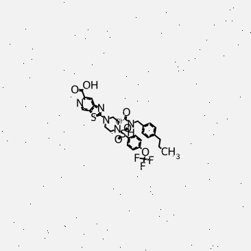 CCCc1ccc(CNC(=O)[C@H]2CN(c3nc4cc(C(=O)O)ncc4s3)CCN2S(=O)(=O)c2ccc(OC(F)(F)F)cc2)cc1